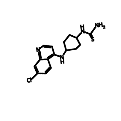 NC(=S)NC1CCC(Nc2ccnc3cc(Cl)ccc23)CC1